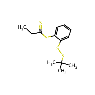 CCC(=S)Sc1ccccc1SSC(C)(C)C